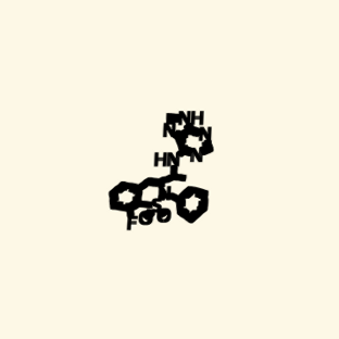 CC(Nc1ncnc2[nH]cnc12)C1=Cc2cccc(F)c2S(=O)(=O)N1c1ccccc1